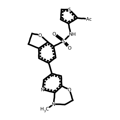 CC(=O)c1sccc1NS(=O)(=O)c1cc(-c2cnc3c(c2)OCCN3C)cc2c1OCC2